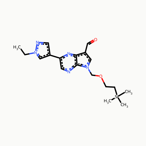 CCn1cc(-c2cnc3c(n2)c(C=O)cn3COCC[Si](C)(C)C)cn1